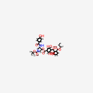 CCC(C)OC(=O)c1cccc(O)c1C(=O)c1c(O)cc(C(=O)O[C@@H]2CN(C(=O)OC(C)(C)C)C[C@H]2NC(=O)c2ccc(O)cc2)cc1O